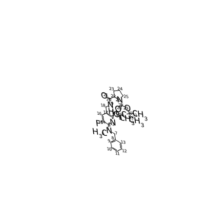 COc1nc(N(C)Cc2ccccc2)c(F)cc1CNC(=O)C1CCCN1C(=O)OC(C)(C)C